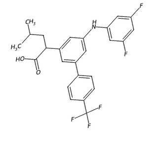 CC(C)CC(C(=O)O)c1cc(Nc2cc(F)cc(F)c2)cc(-c2ccc(C(F)(F)F)cc2)c1